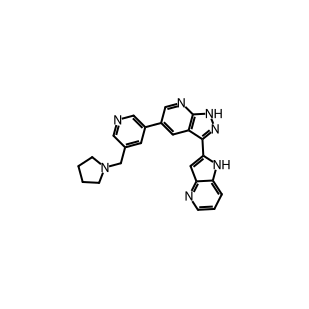 c1cnc2cc(-c3n[nH]c4ncc(-c5cncc(CN6CCCC6)c5)cc34)[nH]c2c1